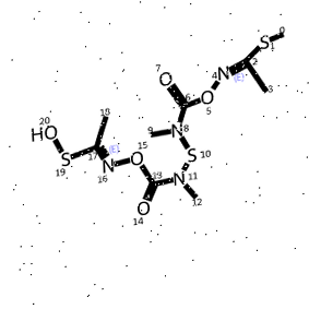 CS/C(C)=N/OC(=O)N(C)SN(C)C(=O)O/N=C(\C)SO